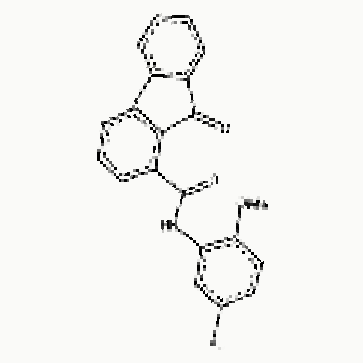 COc1ccc(C(C)=O)cc1NC(=O)c1cccc2c1C(=O)c1ccccc1-2